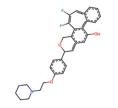 Oc1cc2c(c3c1=c1ccccc1=CC(F)=C3F)COC(c1ccc(OCCN3CCCCC3)cc1)C=2